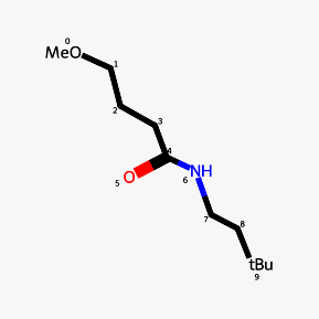 COCCCC(=O)NCCC(C)(C)C